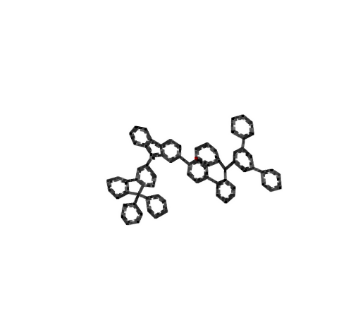 c1ccc(-c2cc(-c3ccccc3)cc(C(c3ccccc3)c3ccccc3-c3ccc(-c4ccc5c6ccccc6n(-c6ccc7c(c6)-c6ccccc6C7(c6ccccc6)c6ccccc6)c5c4)cc3)c2)cc1